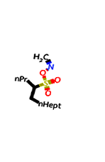 C=NOS(=O)(=O)C(CCC)CCCCCCCC